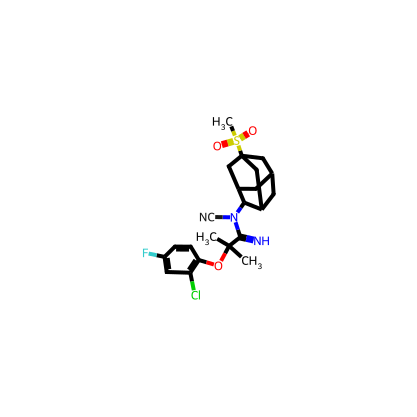 CC(C)(Oc1ccc(F)cc1Cl)C(=N)N(C#N)C1C2CC3CC1CC(S(C)(=O)=O)(C3)C2